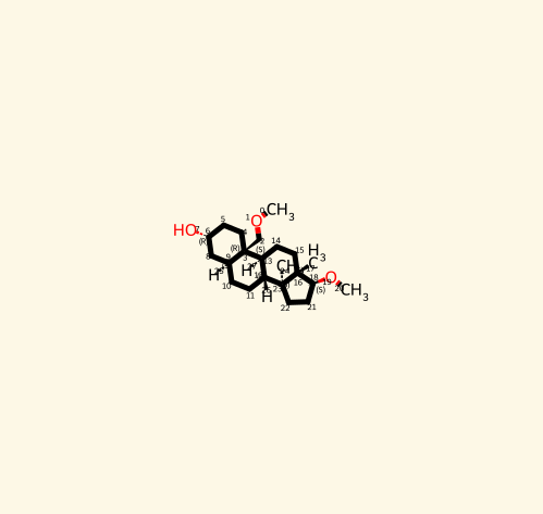 COC[C@]12CC[C@@H](O)C[C@@H]1CC[C@@H]1[C@@H]2CC[C@]2(C)[C@@H](OC)CC[C@@]12C